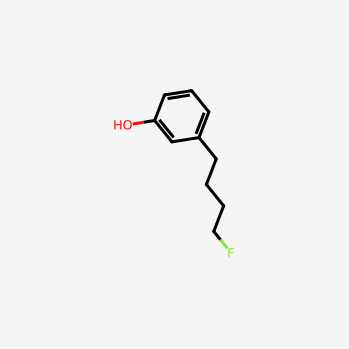 Oc1cccc(CCCCF)c1